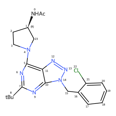 CC(=O)N[C@@H]1CCN(c2nc(C(C)(C)C)nc3c2nnn3Cc2ccccc2Cl)C1